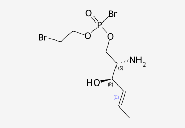 C/C=C/[C@@H](O)[C@@H](N)COP(=O)(Br)OCCBr